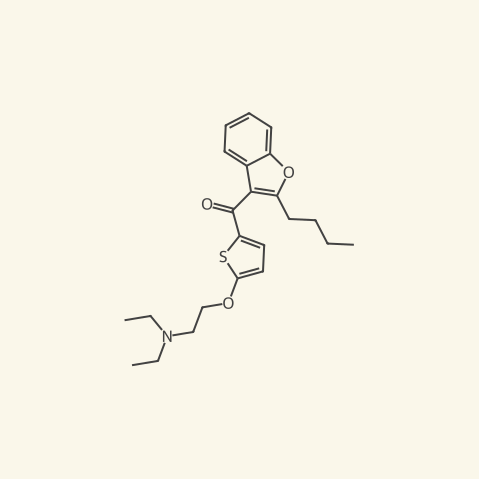 CCCCc1oc2ccccc2c1C(=O)c1ccc(OCCN(CC)CC)s1